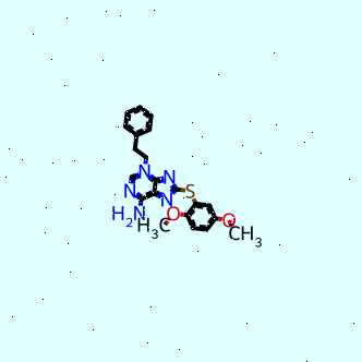 COc1ccc(OC)c(Sc2nc3c(N)ncn(CCc4ccccc4)c-3n2)c1